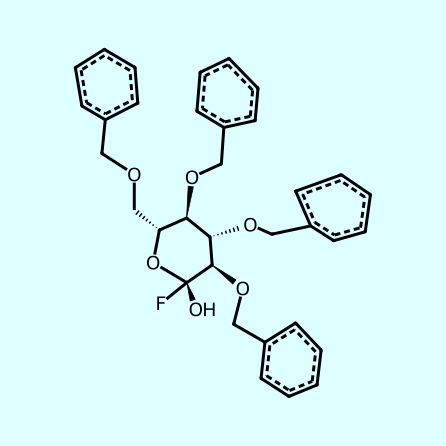 O[C@@]1(F)O[C@H](COCc2ccccc2)[C@@H](OCc2ccccc2)[C@H](OCc2ccccc2)[C@H]1OCc1ccccc1